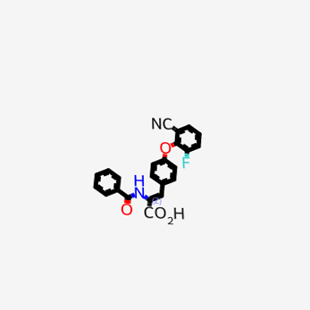 N#Cc1cccc(F)c1Oc1ccc(/C=C(\NC(=O)c2ccccc2)C(=O)O)cc1